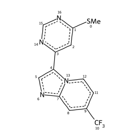 CSc1cc(-c2cnc3cc(C(F)(F)F)ccn23)ncn1